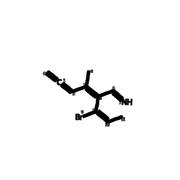 C=C=C/C(C)=C(C=N)\C(Br)=C/C